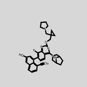 C#Cc1cccc2cc(O)cc(-c3ccc4c(N5CC6CCC(C5)N6)nc(OCC5(CN6CCCC6)CC5)nc4c3F)c12